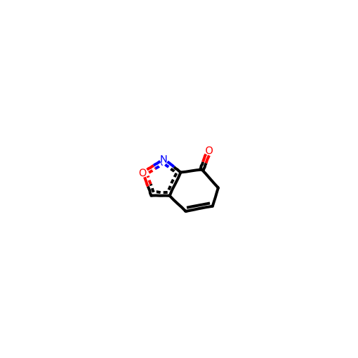 O=C1CC=Cc2conc21